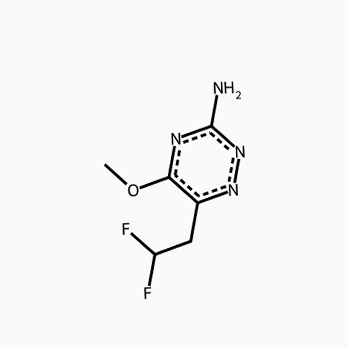 COc1nc(N)nnc1CC(F)F